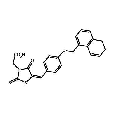 O=C(O)CN1C(=O)/C(=C\c2ccc(OCc3cccc4c3C=CCC4)cc2)SC1=S